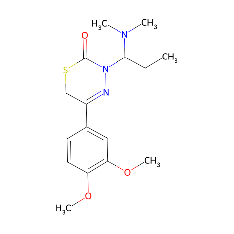 CCC(N(C)C)N1N=C(c2ccc(OC)c(OC)c2)CSC1=O